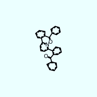 O=C(c1ccccc1)c1ccccc1-c1cccc(-c2ccccc2C(=O)c2ccccc2)n1